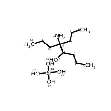 CCCC(O)C(N)(CCC)CCC.O[Si](O)(O)O